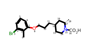 Cc1c(Br)cccc1OCCC[C@@H]1CCN(C(=O)O)[C@@H](C)C1